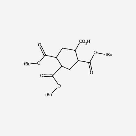 CC(C)(C)OC(=O)C1CC(C(=O)OC(C)(C)C)C(C(=O)OC(C)(C)C)CC1C(=O)O